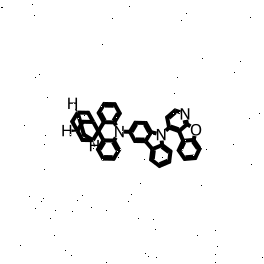 c1ccc2c(c1)N(c1ccc3c(c1)c1ccccc1n3-c1ccnc3oc4ccccc4c13)c1ccccc1C21C2C[C@H]3C[C@@H](C2)C[C@@H]1C3